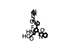 COc1c(-c2cc(C3=CCCN(C(=O)CCn4ccnn4)C3)c(F)c3[nH]c(C(=O)O)cc23)cnc2ccccc12